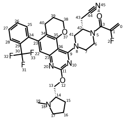 C=C(F)C(=O)N1CCN(c2nc(OC[C@@H]3CCCN3C)nc3cc(-c4ccccc4C(F)(F)F)c4c(c23)OCCC4)C[C@@H]1CC#N